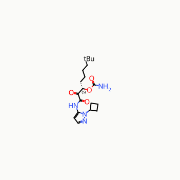 CC(C)(C)CCCC[C@H](OC(N)=O)C(=O)C(=O)Nc1ccnn1C1CCC1